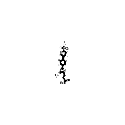 CCC(C)C(=N)CCc1nc(-c2ccc(-c3ccc(S(C)(=O)=O)nc3)cc2)oc1C